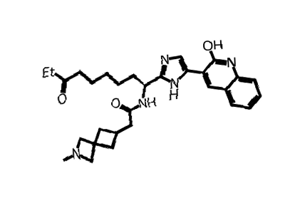 CCC(=O)CCCCC[C@H](NC(=O)CC1CC2(C1)CN(C)C2)c1ncc(-c2cc3ccccc3nc2O)[nH]1